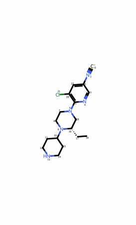 [C-]#[N+]c1cnc(N2CCN(C3CCNCC3)[C@@H](CC)C2)c(Cl)c1